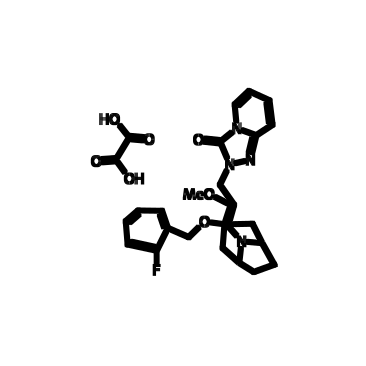 COCC1(OCc2ccccc2F)CC2CCC(C1)N2CCCn1nc2ccccn2c1=O.O=C(O)C(=O)O